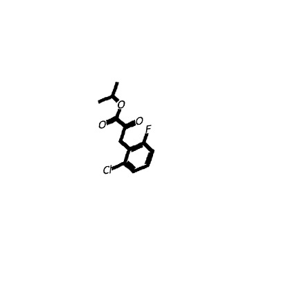 CC(C)OC(=O)C(=O)Cc1c(F)cccc1Cl